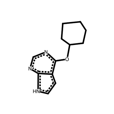 c1nc(OC2CCCCC2)c2cc[nH]c2n1